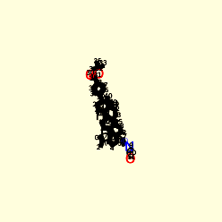 C=C(C)[C@@H]1CC[C@]2(/C=C/N=C=O)CC[C@]3(C)[C@H](CC[C@@H]4[C@@]5(C)CC=C(c6ccc(C(=O)OC(C)(C)C)cc6)C(C)(C)[C@@H]5CC[C@]43C)[C@@H]12